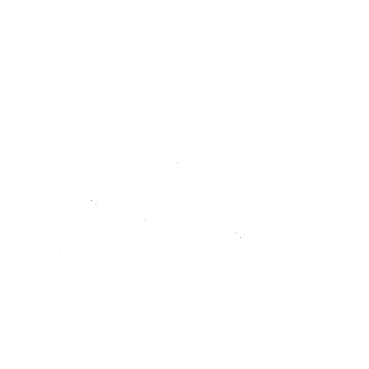 CC1=CC(c2c[nH]c3ccccc23)C2=C(CC(c3ccccc3)CC2=O)N1